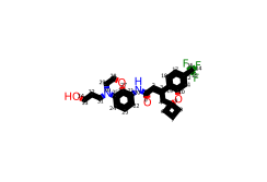 O=C(C=C1CC2(CCC2)Oc2cc(C(F)(F)F)ccc21)Nc1cccc2c1OCCN2CCCO